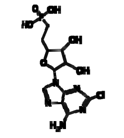 Nc1nc(Cl)nc2c1ncn2C1OC(CCP(=O)(O)O)C(O)C1O